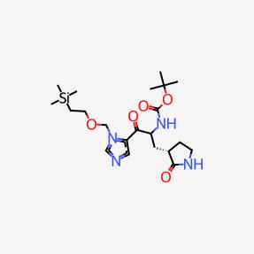 CC(C)(C)OC(=O)NC(C[C@@H]1CCNC1=O)C(=O)c1cncn1COCC[Si](C)(C)C